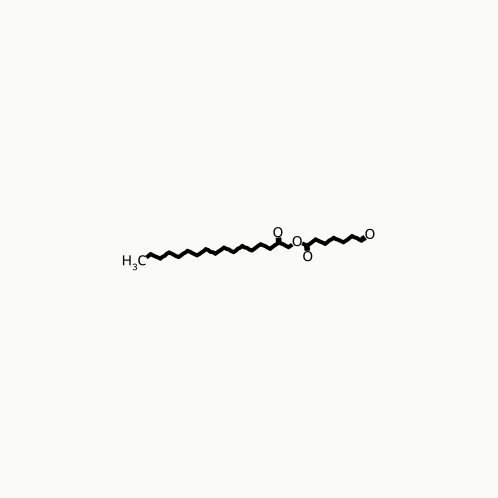 CCCCCCCCCCCCCCCC(=O)COC(=O)CCCCCC=O